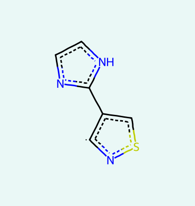 [c]1nscc1-c1ncc[nH]1